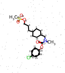 CN(CC1CCC(CCCOS(C)(=O)=O)CC1)C(=O)Oc1ccc(Cl)cc1